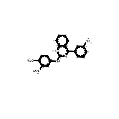 COc1ccc(Nc2nc(-c3cccc(N)c3)c3ccccc3n2)cc1OC